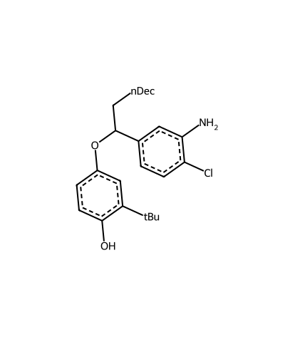 CCCCCCCCCCCC(Oc1ccc(O)c(C(C)(C)C)c1)c1ccc(Cl)c(N)c1